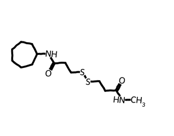 CNC(=O)CCSSCCC(=O)NC1CCCCCC1